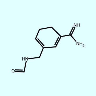 N=C(N)C1=CC(CNC=O)=CCC1